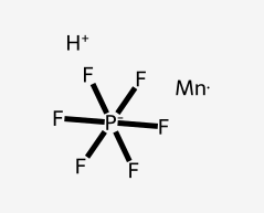 F[P-](F)(F)(F)(F)F.[H+].[Mn]